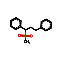 CS(=O)(=O)C(CCc1ccccc1)c1ccccc1